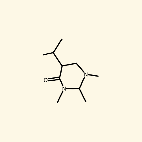 CC(C)C1CN(C)C(C)N(C)C1=O